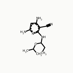 CCC(Nc1nc(N)cc(N)c1C#N)OC(C)C